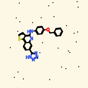 c1ccc(COc2ccc(Nc3nc4cc(-c5nnn[nH]5)ccc4c4sccc34)cc2)cc1